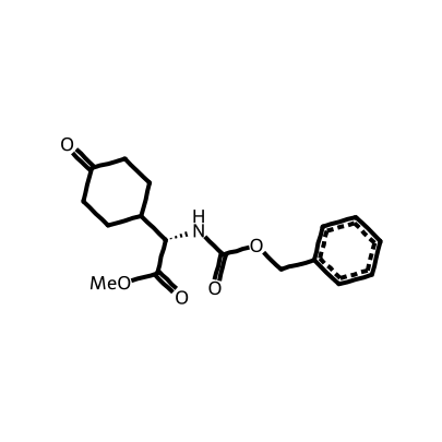 COC(=O)[C@@H](NC(=O)OCc1ccccc1)C1CCC(=O)CC1